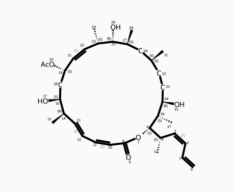 C=C/C=C\[C@H](C)[C@@H]1OC(=O)/C=C\C=C\[C@@H](C)[C@@H](O)C[C@H](OC(C)=O)/C=C\[C@H](C)[C@H](O)[C@@H](C)C[C@@H](C)CC[C@@H](O)[C@@H]1C